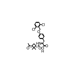 CC(=O)[C@H]1C[C@H](C(=O)N[C@@H](Cc2ccc(OCc3c(Cl)cccc3Cl)cc2)C(=O)O)C1(C)C